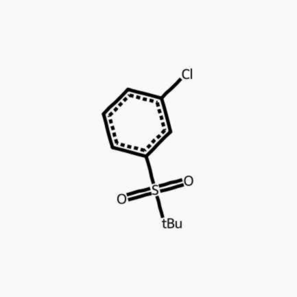 CC(C)(C)S(=O)(=O)c1cccc(Cl)c1